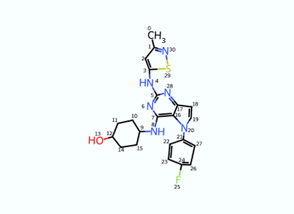 Cc1cc(Nc2nc(NC3CCC(O)CC3)c3c(ccn3-c3ccc(F)cc3)n2)sn1